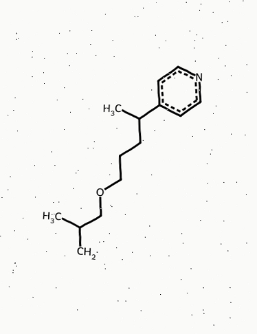 [CH2]C(C)COCCCC(C)c1ccncc1